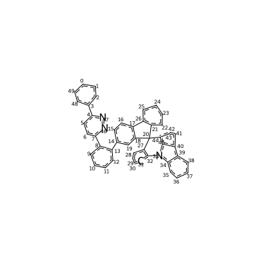 c1ccc(-c2ccc(-c3ccccc3-c3ccc4c(c3)C3(c5ccccc5-4)c4ccccc4-n4c5ccccc5c5cccc3c54)nn2)cc1